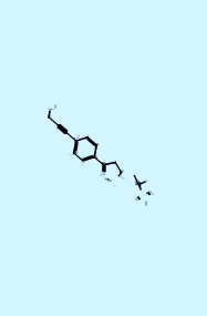 CCOC(=O)[C@@](C)(C[C@H]1CC(c2ccc(C#CCO)cc2)=NO1)S(C)(=O)=O